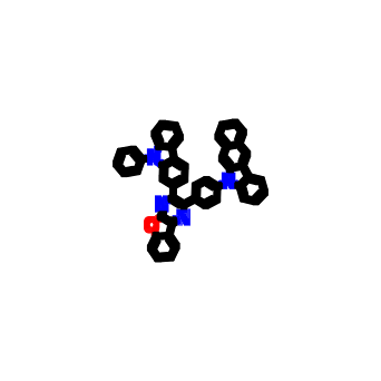 c1ccc(-n2c3ccccc3c3ccc(-c4nc5oc6ccccc6c5nc4-c4ccc(-n5c6ccccc6c6cc7ccccc7cc65)cc4)cc32)cc1